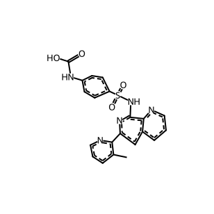 Cc1cccnc1-c1cc2cccnc2c(NS(=O)(=O)c2ccc(NC(=O)O)cc2)n1